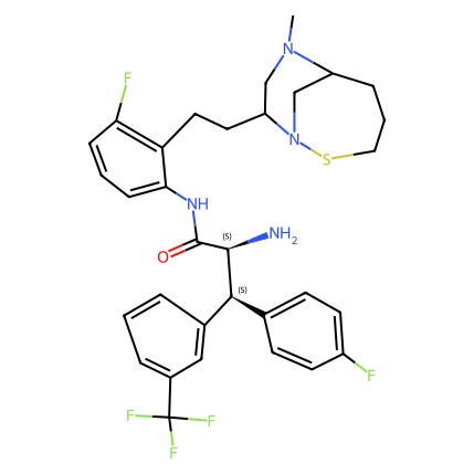 CN1CC(CCc2c(F)cccc2NC(=O)[C@@H](N)[C@@H](c2ccc(F)cc2)c2cccc(C(F)(F)F)c2)N2CC1CCCS2